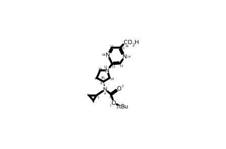 CC(C)(C)OC(=O)N(C1CC1)[C@@H]1CCN(c2cnc(C(=O)O)cn2)C1